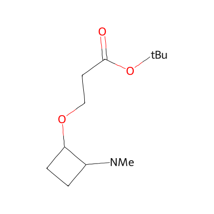 CNC1CCC1OCCC(=O)OC(C)(C)C